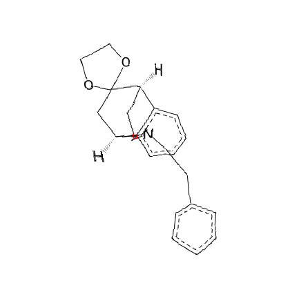 c1ccc(CN2CC[C@@]3(C[C@@H]4c5ccccc5[C@H]3CC43OCCO3)C2)cc1